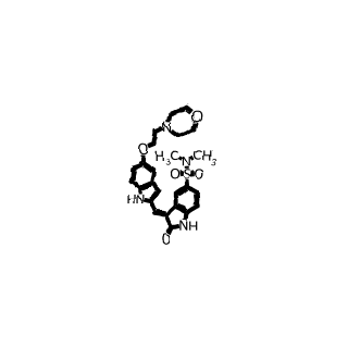 CN(C)S(=O)(=O)c1ccc2c(c1)/C(=C\c1cc3cc(OCCN4CCOCC4)ccc3[nH]1)C(=O)N2